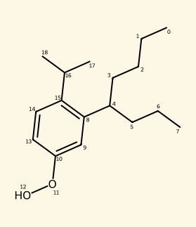 CCCCC(CCC)c1cc(OO)ccc1C(C)C